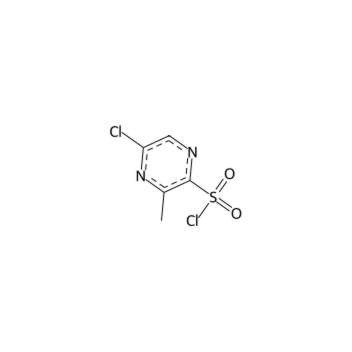 Cc1nc(Cl)cnc1S(=O)(=O)Cl